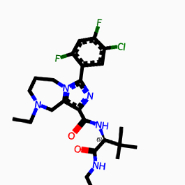 CCNC(=O)[C@@H](NC(=O)c1nc(-c2cc(Cl)c(F)cc2F)n2c1CN(CC)CCC2)C(C)(C)C